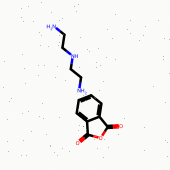 NCCNCCN.O=C1OC(=O)c2ccccc21